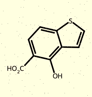 O=C(O)c1ccc2sccc2c1O